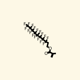 C=C(C)C(=O)OCCC(F)(F)C(F)(F)C(F)(F)C(F)(F)C(F)(F)C(F)(F)C(F)(F)C(F)(F)F